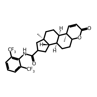 C[C@]12CC[C@@H]3[C@@H](CCC4OC(=O)C=C[C@@]43C)[C@@H]1CC(C(=O)Nc1c(C(F)(F)F)cccc1C(F)(F)F)C2